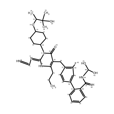 CCCc1[nH]/c(=N\C=N)n(C2CCC(OC(C)C(C)(C)O)CC2)c(=O)c1Cc1ccc(-c2ccccc2C(=N)NC(O)O)cc1F